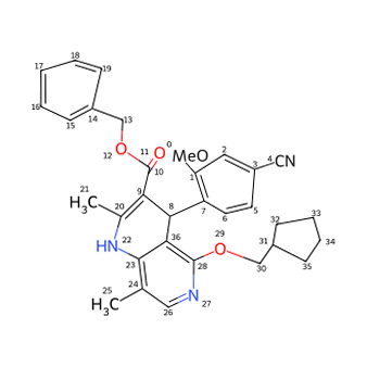 COc1cc(C#N)ccc1C1C(C(=O)OCc2ccccc2)=C(C)Nc2c(C)cnc(OCC3CCCC3)c21